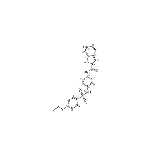 CCCc1ccc(S(=O)(=O)Nc2ccc(NC(=O)N3C=C4C=CNC=C4C3)cc2)cc1